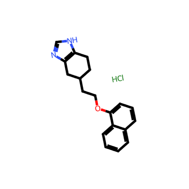 Cl.c1ccc2c(OCCC3CCc4[nH]cnc4C3)cccc2c1